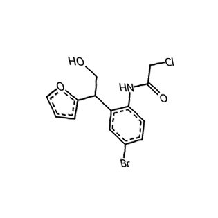 O=C(CCl)Nc1ccc(Br)cc1C(CO)c1ccco1